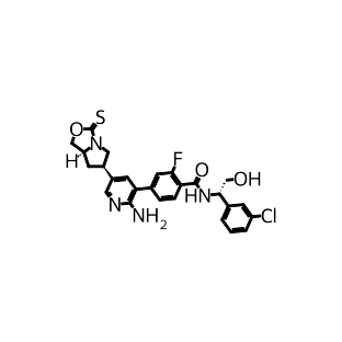 Nc1ncc([C@H]2C[C@H]3COC(=S)N3C2)cc1-c1ccc(C(=O)N[C@H](CO)c2cccc(Cl)c2)c(F)c1